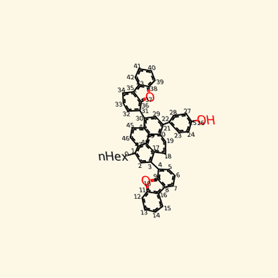 CCCCCCc1cc(-c2cccc3c2oc2ccccc23)c2ccc3c(-c4ccc(O)cc4)cc(-c4cccc5c4oc4ccccc45)c4ccc1c2c34